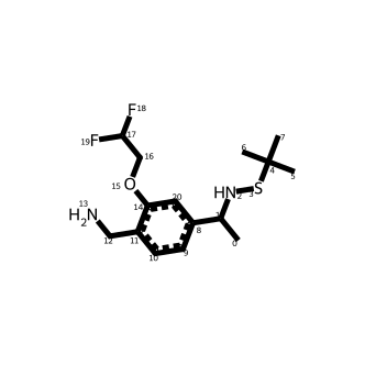 CC(NSC(C)(C)C)c1ccc(CN)c(OCC(F)F)c1